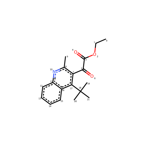 CCOC(=O)C(=O)c1c(C)nc2ccccc2c1C(C)(C)C